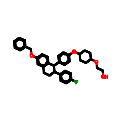 OCCOC1CCC(Oc2ccc(C3c4ccc(OCc5ccccc5)cc4CCC3c3ccc(F)cc3)cc2)CC1